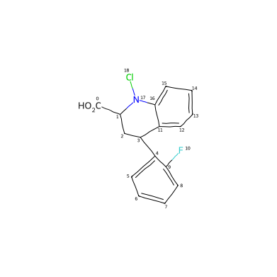 O=C(O)C1CC(c2ccccc2F)c2ccccc2N1Cl